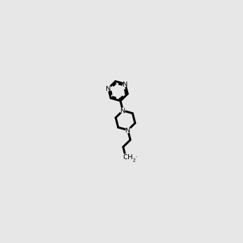 [CH2]CCN1CCN(c2cncnc2)CC1